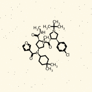 CNC(=O)[C@@H]1C[C@H](N(C(=O)c2ccoc2)C2CCC(C)(C)CC2)C[N+]1(C)C(=O)[C@@H]1CN(C(C)(C)C)C[C@H]1c1ccc(Cl)cc1